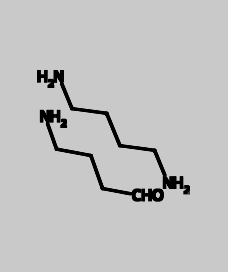 NCCCC=O.NCCCCN